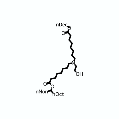 CCCCCCCCCCOC(=O)CCCCCCCN(CCO)CCCCCCCC(=O)OC(CCCCCCCC)CCCCCCCCC